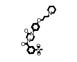 CS(=O)(=O)c1cccc(C(=O)N2CCN(c3ccc(OCCCN4CCCCC4)cc3)C(=O)C2)c1